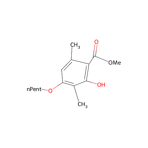 CCCCCOc1cc(C)c(C(=O)OC)c(O)c1C